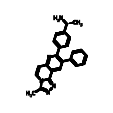 Cc1nnc2c3cc(-c4ccccc4)c(-c4ccc([C@@H](C)N)cc4)nc3ccn12